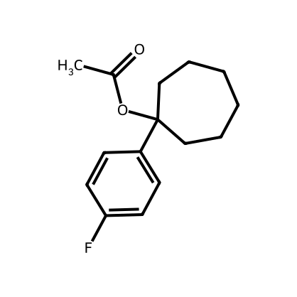 CC(=O)OC1(c2ccc(F)cc2)CCCCCC1